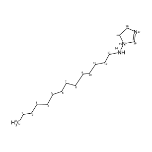 CCCCCCCCCCCCCCNN1C=NCC1